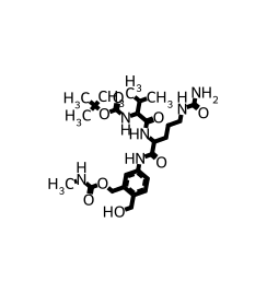 CNC(=O)OCc1cc(NC(=O)C(CCCNC(N)=O)NC(=O)C(NC(=O)OC(C)(C)C)C(C)C)ccc1CO